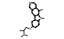 Cc1c2ccncc2cc2c3cc(OCC(C)N(C)C)ccc3n(C)c12